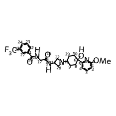 COc1cccc(C2(O)CCC(N3CC(NC(=O)CNC(=O)c4cccc(C(F)(F)F)c4)C3)CC2)n1